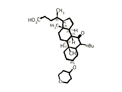 CCCCC1C(=O)[C@H]2[C@@H]3CC[C@H]([C@H](C)CCC(=O)O)[C@@]3(C)CC[C@@H]2[C@@]2(C)CC[C@@H](OC3CCOCC3)CC12